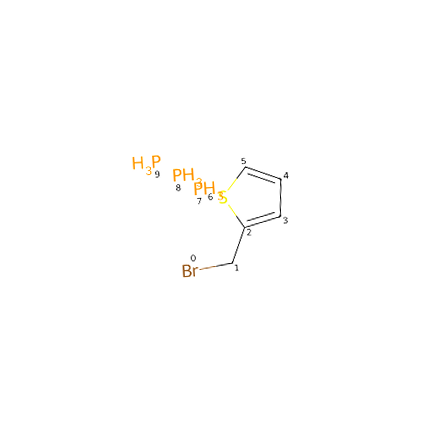 BrCc1cccs1.P.P.P